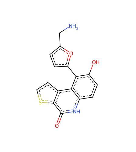 NCc1ccc(-c2c(O)ccc3[nH]c(=O)c4sccc4c23)o1